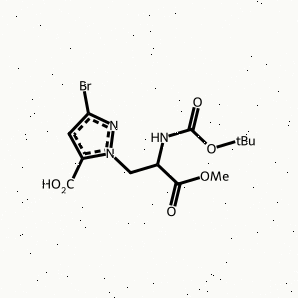 COC(=O)C(Cn1nc(Br)cc1C(=O)O)NC(=O)OC(C)(C)C